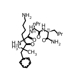 CCC[C@H](NC(=O)[C@@](N)(CCCCN)C(=O)C(C)(C)Cc1ccccc1)C(=O)N[C@@H](CC(C)C)C(N)=O